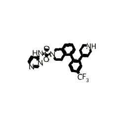 O=S(=O)(Nc1ccncn1)N1CCc2c(cccc2-c2ccc(C(F)(F)F)cc2C2=CCNCC2)C1